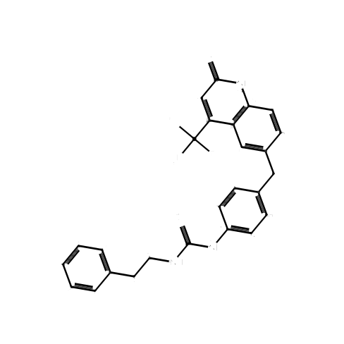 O=c1cc(C(F)(F)F)c2cc(Cc3ccc(NC(=S)NCCc4ccccc4)cc3)ccc2[nH]1